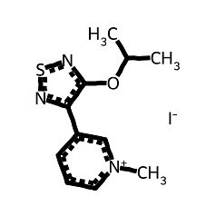 CC(C)Oc1nsnc1-c1ccc[n+](C)c1.[I-]